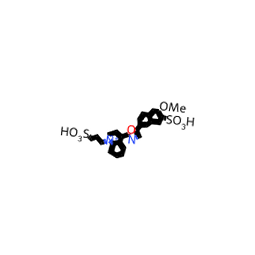 COc1cc2ccc(-c3cnc(-c4cc[n+](CCCS(=O)(=O)O)c5ccccc45)o3)cc2cc1S(=O)(=O)O